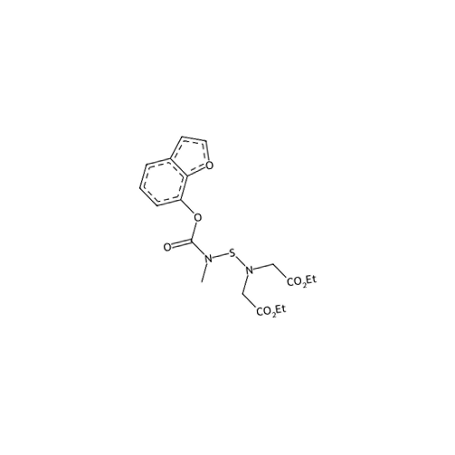 CCOC(=O)CN(CC(=O)OCC)SN(C)C(=O)Oc1cccc2ccoc12